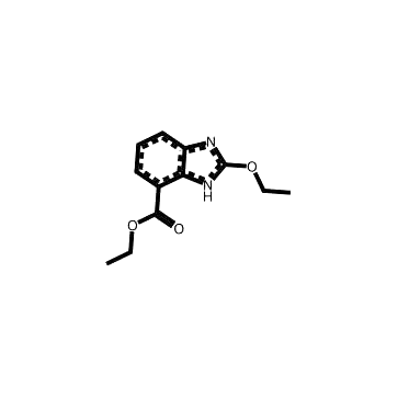 CCOC(=O)c1cccc2nc(OCC)[nH]c12